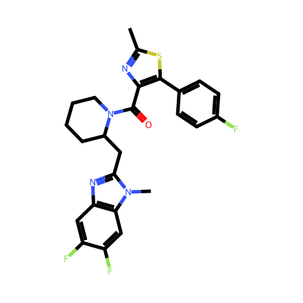 Cc1nc(C(=O)N2CCCCC2Cc2nc3cc(F)c(F)cc3n2C)c(-c2ccc(F)cc2)s1